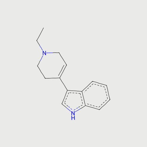 CCN1CC=C(c2c[nH]c3ccccc23)CC1